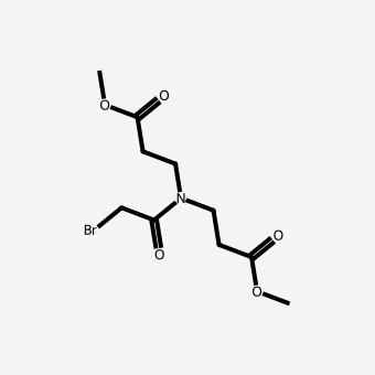 COC(=O)CCN(CCC(=O)OC)C(=O)CBr